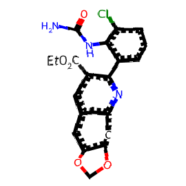 CCOC(=O)c1cc2cc3c(cc2nc1-c1cccc(Cl)c1NC(N)=O)OCO3